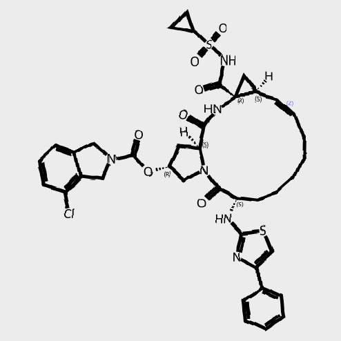 O=C1N[C@]2(C(=O)NS(=O)(=O)C3CC3)C[C@H]2/C=C\CCCCC[C@H](Nc2nc(-c3ccccc3)cs2)C(=O)N2C[C@H](OC(=O)N3Cc4cccc(Cl)c4C3)C[C@@H]12